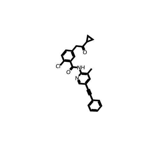 Cc1cc(C#Cc2ccccc2)cnc1NC(=O)c1cc(CC(=O)C2CC2)ccc1Cl